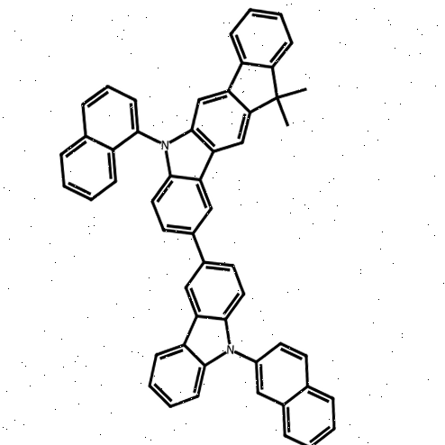 CC1(C)c2ccccc2-c2cc3c(cc21)c1cc(-c2ccc4c(c2)c2ccccc2n4-c2ccc4ccccc4c2)ccc1n3-c1cccc2ccccc12